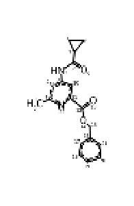 Cc1nc(NC(=O)C2CC2)cc(C(=O)OCc2ccccc2)n1